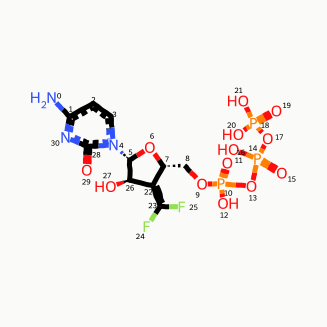 Nc1ccn([C@@H]2O[C@H](COP(=O)(O)OP(=O)(O)OP(=O)(O)O)C(=C(F)F)[C@H]2O)c(=O)n1